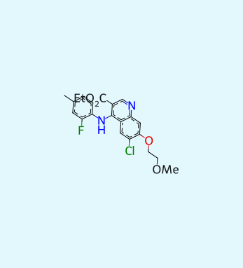 CCOC(=O)c1cnc2cc(OCCOC)c(Cl)cc2c1Nc1ccc(C)cc1F